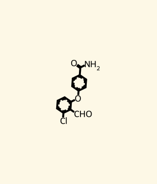 NC(=O)c1ccc(Oc2cccc(Cl)c2C=O)cc1